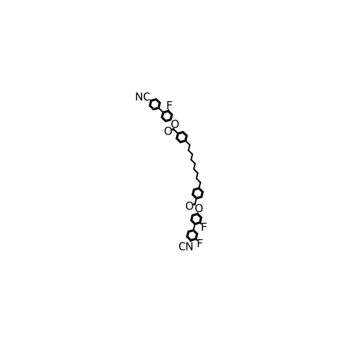 N#Cc1ccc(-c2ccc(OC(=O)c3ccc(CCCCCCCCCc4ccc(C(=O)Oc5ccc(-c6ccc(C#N)c(F)c6)c(F)c5)cc4)cc3)cc2F)cc1